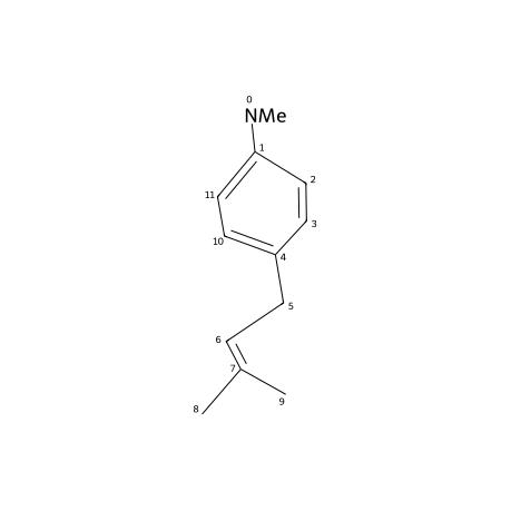 CNc1ccc(CC=C(C)C)cc1